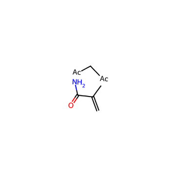 C=C(C)C(N)=O.CC(=O)CC(C)=O